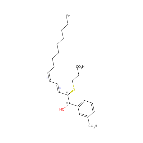 CC(C)CCCCCCC/C=C\C=C\[C@@H](SCCC(=O)O)[C@@H](O)c1cccc(C(=O)O)c1